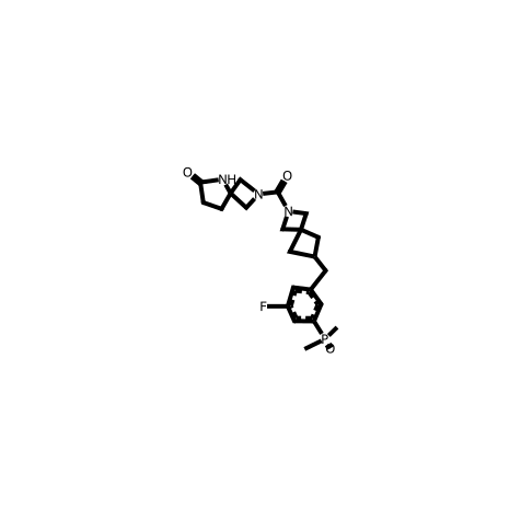 CP(C)(=O)c1cc(F)cc(CC2CC3(C2)CN(C(=O)N2CC4(CCC(=O)N4)C2)C3)c1